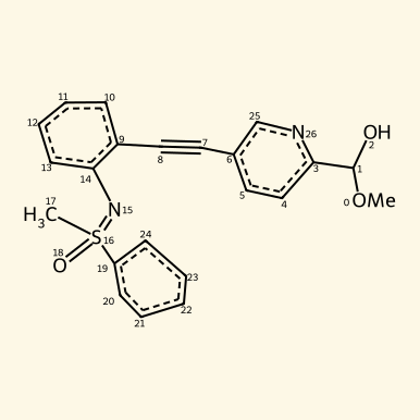 COC(O)c1ccc(C#Cc2ccccc2N=S(C)(=O)c2ccccc2)cn1